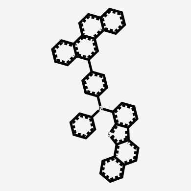 c1ccc(N(c2ccc(-c3cc4c5ccccc5ccc4c4ccccc34)cc2)c2cccc3c2sc2c4ccccc4ccc32)cc1